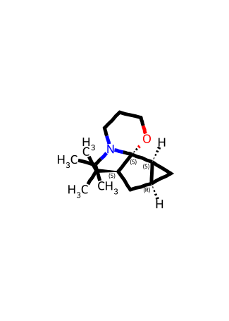 CC(C)[C@@H]1C[C@@H]2C[C@@H]2[C@@]12OCCCN2C(C)C